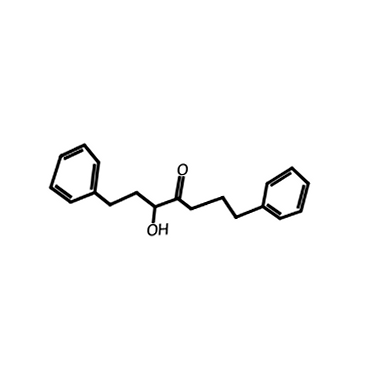 O=C(CCCc1ccccc1)C(O)CCc1ccccc1